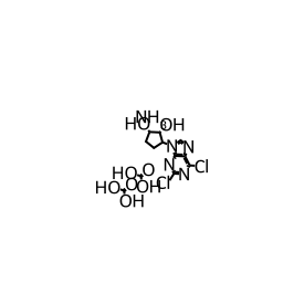 N.O=C(O)O.O=C(O)O.OC1CCC(n2cnc3c(Cl)nc(Cl)nc32)C1O